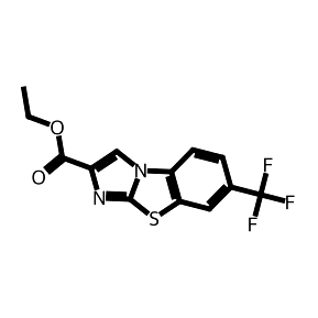 CCOC(=O)c1cn2c(n1)sc1cc(C(F)(F)F)ccc12